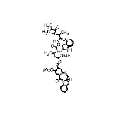 C=C(CC(OC)OOc1cc2c(cc1OC)C(=O)N1c3ccccc3C[C@H]1C=N2)N(C[C@@H]1Cc2ccccc2N1)C(=O)ONC(=O)C(C)NC(=O)C(C)N